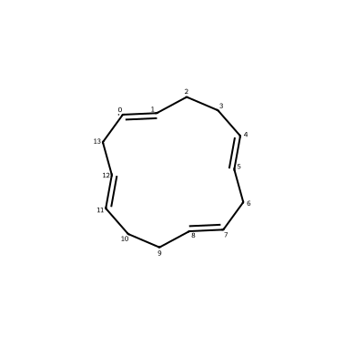 [C]1=C/CC/C=C/C/C=C/CC/C=C/C/1